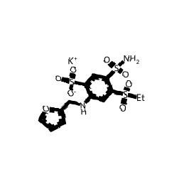 CCS(=O)(=O)c1cc(NCc2ccco2)c(S(=O)(=O)[O-])cc1S(N)(=O)=O.[K+]